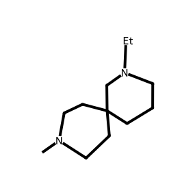 CCN1CCCC2(CCN(C)CC2)C1